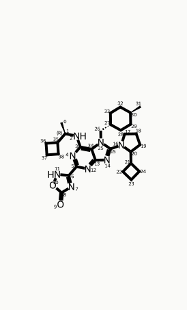 C[C@@H](Nc1nc(-c2nc(=O)o[nH]2)nc2nc(N3CCCC3C3CCC3)n(C[C@H]3CC[C@H](C)CC3)c12)C1CCC1